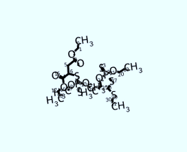 CCOC(=O)CC(SP(=S)(OC)OC)C(=O)OCC.CCOP(=S)(OCC)SCSCC